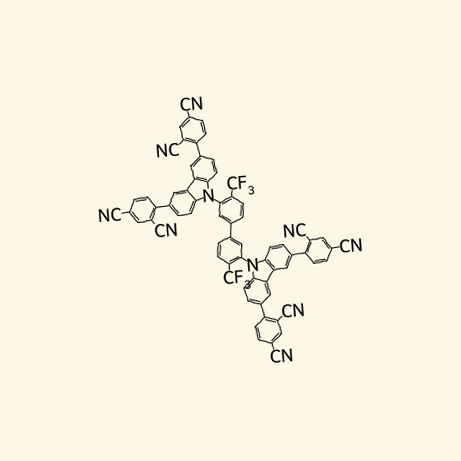 N#Cc1ccc(-c2ccc3c(c2)c2cc(-c4ccc(C#N)cc4C#N)ccc2n3-c2cc(-c3ccc(C(F)(F)F)c(-n4c5ccc(-c6ccc(C#N)cc6C#N)cc5c5cc(-c6ccc(C#N)cc6C#N)ccc54)c3)ccc2C(F)(F)F)c(C#N)c1